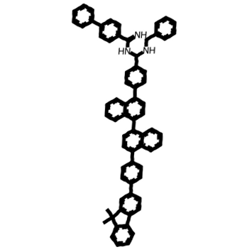 CC1(C)c2ccccc2-c2ccc(-c3ccc(-c4ccc(-c5ccc(-c6ccc(C(NCc7ccccc7)NC(=N)c7ccc(-c8ccccc8)cc7)cc6)c6ccccc56)c5ccccc45)cc3)cc21